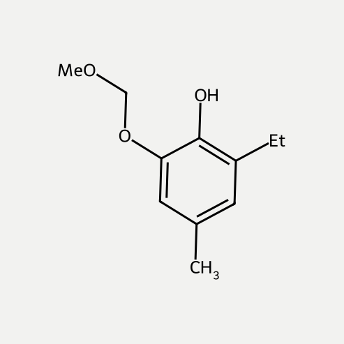 CCc1cc(C)cc(OCOC)c1O